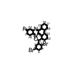 O=C(c1cc(Br)ccc1Br)c1cccc2c3ccccc3c3nc4cc(F)ccc4nc3c12